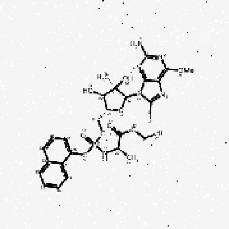 COc1nc(N)nc2c1nc(I)n2C1O[C@H](COP(=O)(N[C@H](C)C(=O)OCC(C)(C)C)Oc2cccc3ccccc23)[C@@H](O)[C@@]1(C)O